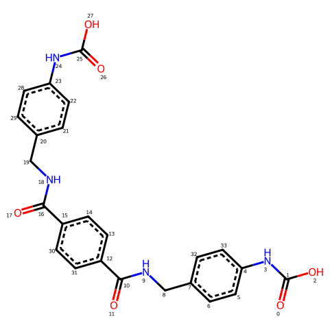 O=C(O)Nc1ccc(CNC(=O)c2ccc(C(=O)NCc3ccc(NC(=O)O)cc3)cc2)cc1